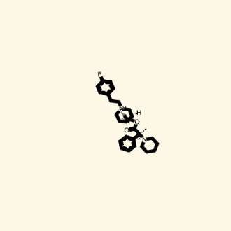 C[C@@](C(=O)O[C@@H]1C[N+]2(CCc3ccc(F)cc3)CCC1CC2)(c1ccccc1)N1CCCCC1